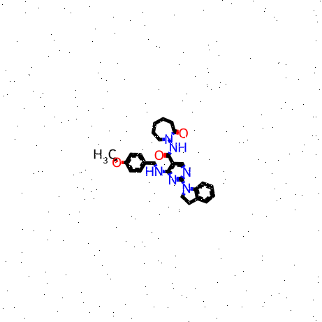 COc1ccc(CNc2nc(N3CCc4ccccc43)ncc2C(=O)NN2CCCCCC2=O)cc1